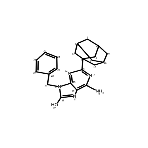 Nc1nc(C23CC4CC(CC(C4)C2)C3)nc2c1nc(O)n2Cc1ccccc1